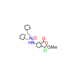 COc1oc(=O)c2cc(NC(=O)N(CCc3ccccc3)Cc3ccccc3)ccc2c1Cl